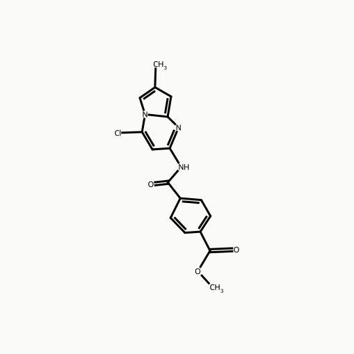 COC(=O)c1ccc(C(=O)Nc2cc(Cl)n3cc(C)cc3n2)cc1